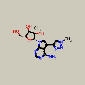 Cn1cc(-c2cn([C@@H]3O[C@H](CO)[C@@H](O)[C@@]3(C)O)c3ncnc(N)c23)nn1